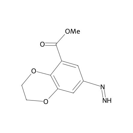 COC(=O)c1cc(N=N)cc2c1OCCO2